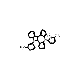 CC1=CC=CC(N2c3ccccc3-c3c(n(C4=CC(C)CC=C4)c4ccccc34)-c3ccccc32)N1C